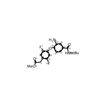 COC(=O)Cc1cc(F)c(Oc2ccc(C(=O)NC(C)(C)C)cc2N)cc1F